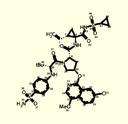 C=C[C@@H]1C[C@]1(NC(=O)[C@@H]1C[C@@H](Oc2ncc(OC)c3ccc(Cl)cc23)CN1C(=O)[C@H](Nc1ccc(S(N)(=O)=O)cc1)C(C)(C)C)C(=O)NS(=O)(=O)C1CC1